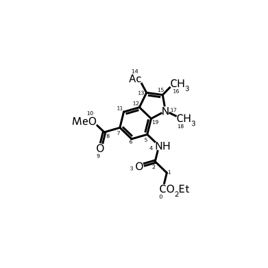 CCOC(=O)CC(=O)Nc1cc(C(=O)OC)cc2c(C(C)=O)c(C)n(C)c12